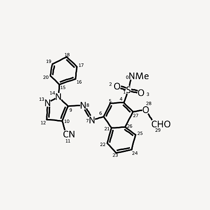 CNS(=O)(=O)c1cc(N=Nc2c(C#N)cnn2-c2ccccc2)c2ccccc2c1OC=O